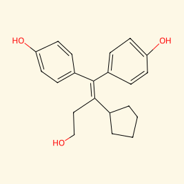 OCCC(=C(c1ccc(O)cc1)c1ccc(O)cc1)C1CCCC1